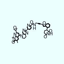 Cc1cc2c(N3CCCc4nc(-c5ccc(C(=O)NCC#Cc6cc7c(C8CCC(=O)NC8=O)cccc7o6)nc5)ncc43)cc(C3COC3)nc2n(C)c1=O